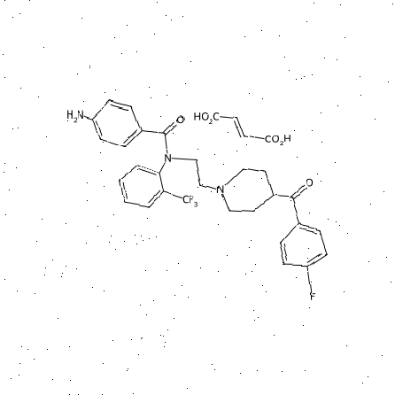 Nc1ccc(C(=O)N(CCN2CCC(C(=O)c3ccc(F)cc3)CC2)c2ccccc2C(F)(F)F)cc1.O=C(O)/C=C/C(=O)O